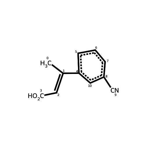 CC(=CC(=O)O)c1cccc(C#N)c1